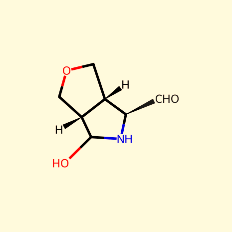 O=C[C@H]1NC(O)[C@@H]2COC[C@H]12